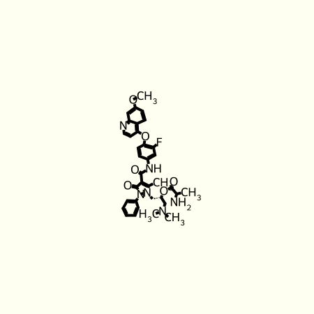 COc1ccc2c(Oc3ccc(NC(=O)c4c(C)n(C[C@@H](CN(C)C)OC(=O)C(C)N)n(-c5ccccc5)c4=O)cc3F)ccnc2c1